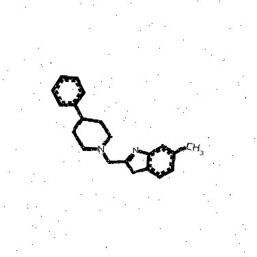 Cc1ccc2c(c1)N=C(CN1CCC(c3ccccc3)CC1)C2